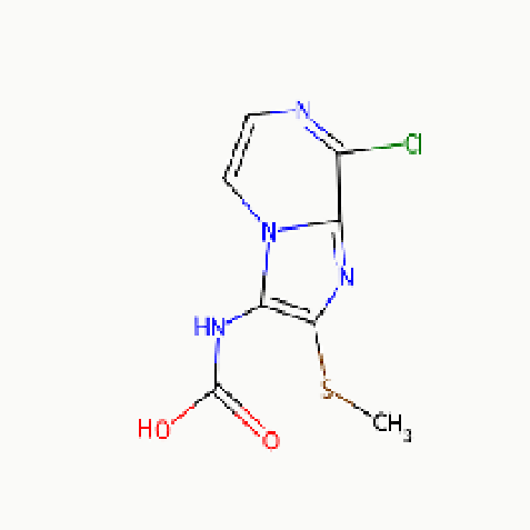 CSc1nc2c(Cl)nccn2c1NC(=O)O